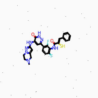 CN1CCn2nc(Nc3cc(-c4ccc(F)c(NC(=O)/C(S)=C/c5ccccc5)c4F)n[nH]c3=O)cc2C1